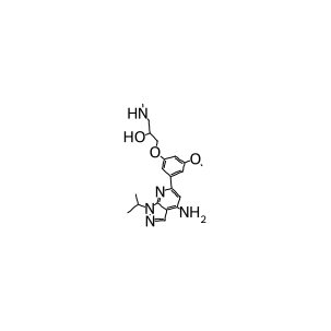 CNCC(O)COc1cc(OC)cc(-c2cc(N)c3cnn(C(C)C)c3n2)c1